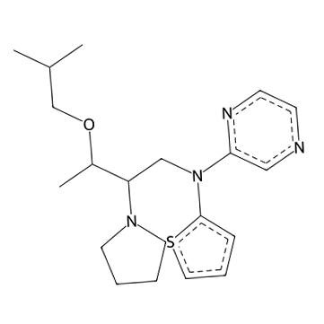 CC(C)COC(C)C(CN(c1cnccn1)c1cccs1)N1CCCC1